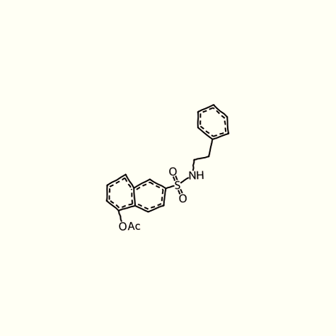 CC(=O)Oc1cccc2cc(S(=O)(=O)NCCc3ccccc3)ccc12